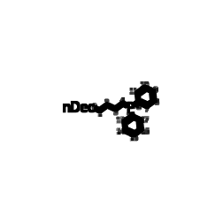 CCCCCCCCCCCCCCP(c1ccccc1)c1ccccc1